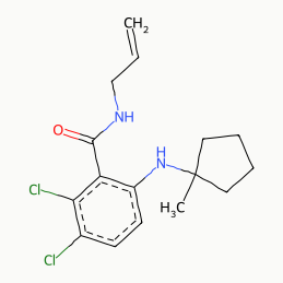 C=CCNC(=O)c1c(NC2(C)CCCC2)ccc(Cl)c1Cl